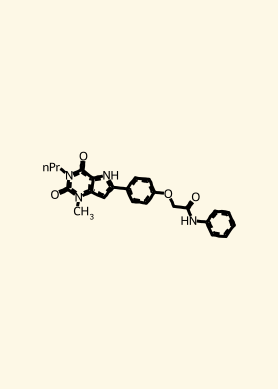 CCCn1c(=O)c2[nH]c(-c3ccc(OCC(=O)Nc4ccccc4)cc3)cc2n(C)c1=O